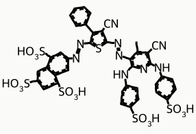 Cc1c(C#N)c(Nc2ccc(S(=O)(=O)O)cc2)nc(Nc2ccc(S(=O)(=O)O)cc2)c1N=Nc1sc(/N=N/c2cc(S(=O)(=O)O)c3cc(S(=O)(=O)O)cc(S(=O)(=O)O)c3c2)c(-c2ccccc2)c1C#N